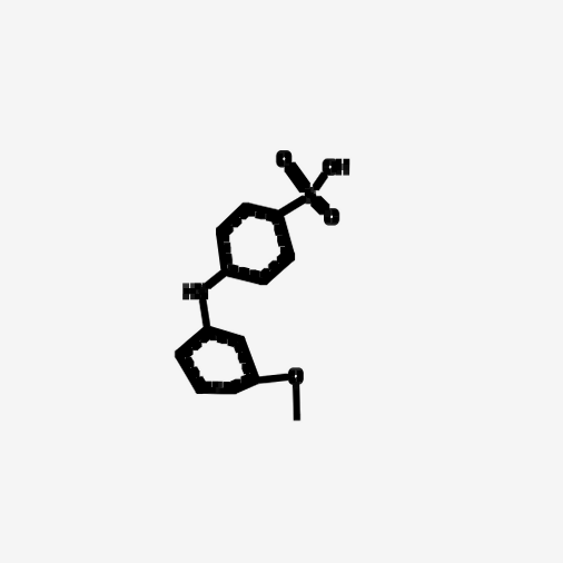 COc1cccc(Nc2ccc(S(=O)(=O)O)cc2)c1